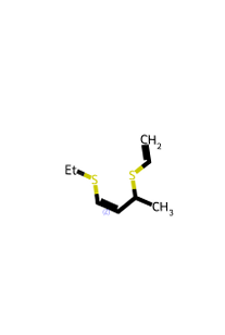 C=CSC(C)/C=C\SCC